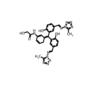 Cc1nnnn1N=Cc1ccc(O)c(C(=C2C=C(NC(=O)CO)C=CC2)c2cc(C=Nn3nnnc3C)ccc2O)c1